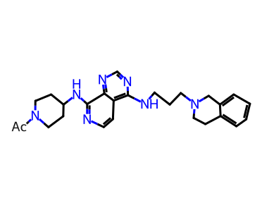 CC(=O)N1CCC(Nc2nccc3c(NCCCN4CCc5ccccc5C4)ncnc23)CC1